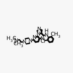 Cc1cccc(Cl)c1Nc1nc2ccc(N3CCN(CCN(C)C)CC3)nc2n2cncc12